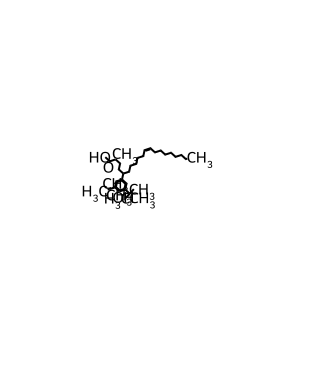 CCCCCCCC/C=C\CCCCCC(CCC(C)C(=O)O)c1cc(C(C)(C)C)c(O)c(C(C)(C)C)c1